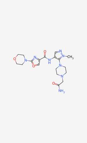 Cn1ncc(NC(=O)c2coc(N3CCOCC3)n2)c1N1CCN(CC(N)=O)CC1